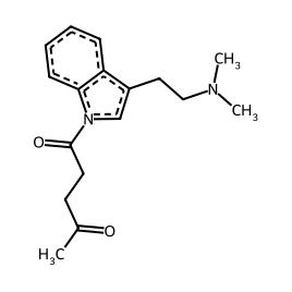 CC(=O)CCC(=O)n1cc(CCN(C)C)c2ccccc21